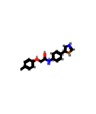 Cc1ccc(OCC(=O)Nc2ccc(-c3cncs3)cc2)cc1